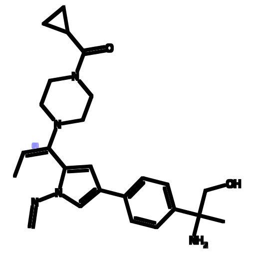 C=Nn1cc(-c2ccc(C(C)(N)CO)cc2)cc1/C(=C\C)N1CCN(C(=O)C2CC2)CC1